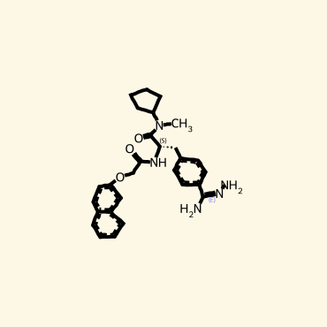 CN(C(=O)[C@H](Cc1ccc(/C(N)=N\N)cc1)NC(=O)COc1ccc2ccccc2c1)C1CCCC1